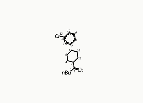 CCCCC(=O)[C@H]1CC[C@H](c2cccc(Cl)n2)CC1